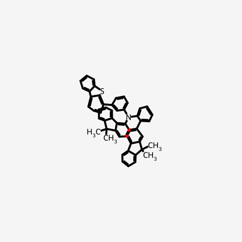 CC1(C)c2ccccc2-c2ccc(-c3ccccc3N(c3cccc(-c4cccc5c4sc4ccccc45)c3)c3cccc4c3-c3ccccc3C4(C)C)cc21